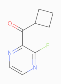 O=C(c1nccnc1F)C1CCC1